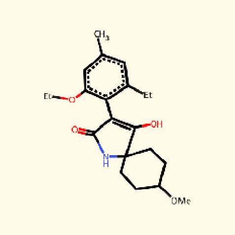 CCOc1cc(C)cc(CC)c1C1=C(O)C2(CCC(OC)CC2)NC1=O